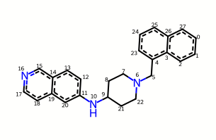 c1ccc2c(CN3CCC(Nc4ccc5cnccc5c4)CC3)cccc2c1